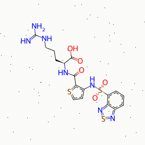 N=C(N)NCCC[C@H](NC(=O)c1sccc1NS(=O)(=O)c1cccc2nsnc12)C(=O)O